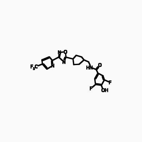 O=C(NCC1CCC(c2nc(-c3ccc(C(F)(F)F)cn3)no2)CC1)c1cc(F)c(O)c(F)c1